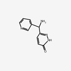 NC(c1cccnc1)c1ccc(=O)[nH]n1